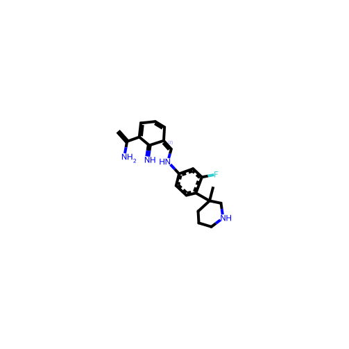 C=C(N)C1=CC=C/C(=C/Nc2ccc(C3(C)CCCNC3)c(F)c2)C1=N